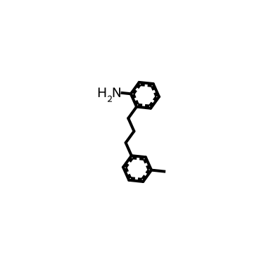 Cc1cccc(CCCc2ccccc2N)c1